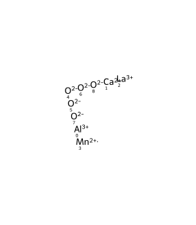 [Al+3].[Ca+2].[La+3].[Mn+2].[O-2].[O-2].[O-2].[O-2].[O-2]